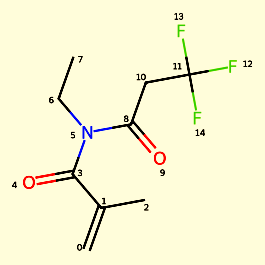 C=C(C)C(=O)N(CC)C(=O)CC(F)(F)F